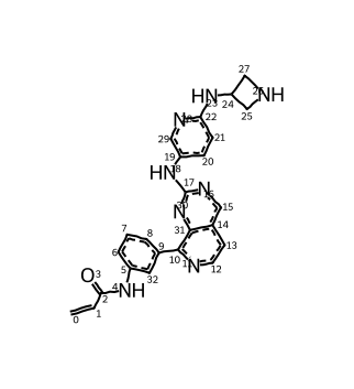 C=CC(=O)Nc1cccc(-c2nccc3cnc(Nc4ccc(NC5CNC5)nc4)nc23)c1